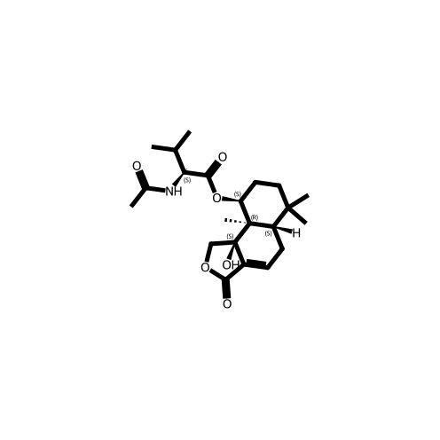 CC(=O)N[C@H](C(=O)O[C@H]1CCC(C)(C)[C@@H]2CC=C3C(=O)OC[C@]3(O)[C@@]12C)C(C)C